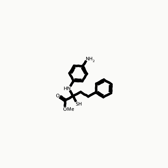 COC(=O)C(S)(CCc1ccccc1)Nc1ccc(N)cc1